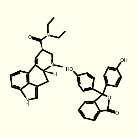 CCN(CC)C(=O)[C@@H]1C=C2c3cccc4[nH]cc(c34)C[C@H]2N(C)C1.O=C1OC(c2ccc(O)cc2)(c2ccc(O)cc2)c2ccccc21